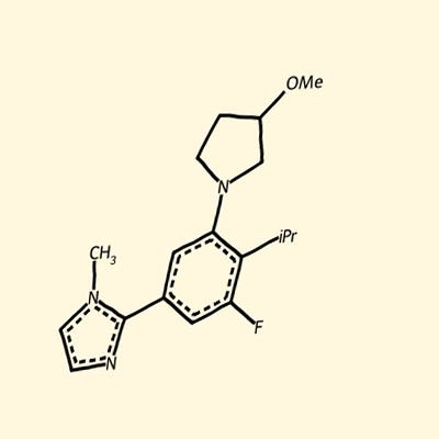 COC1CCN(c2cc(-c3nccn3C)cc(F)c2C(C)C)C1